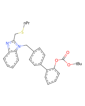 CCCSCc1nc2ccccc2n1Cc1ccc(-c2ccccc2OC(=O)OC(C)(C)C)cc1